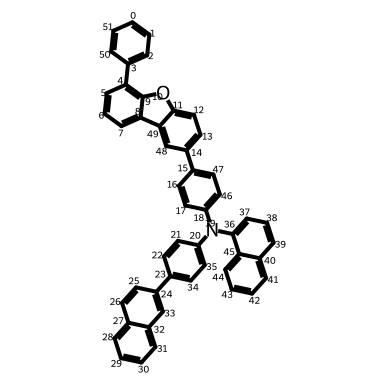 c1ccc(-c2cccc3c2oc2ccc(-c4ccc(N(c5ccc(-c6ccc7ccccc7c6)cc5)c5cccc6ccccc56)cc4)cc23)cc1